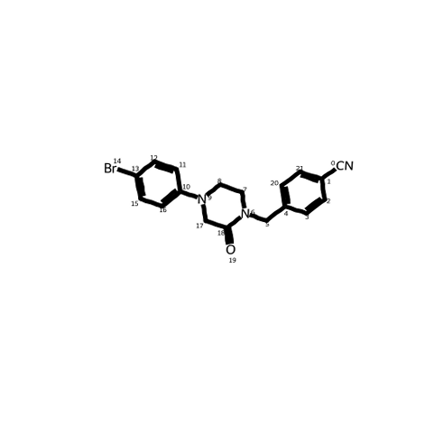 N#Cc1ccc(CN2CCN(c3ccc(Br)cc3)CC2=O)cc1